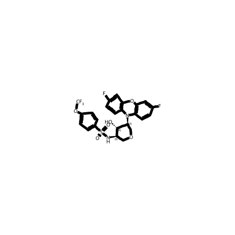 O=S(=O)(N[C@@H]1COC[C@H](N2c3ccc(F)cc3Oc3cc(F)ccc32)[C@H]1O)c1ccc(OC(F)(F)F)cc1